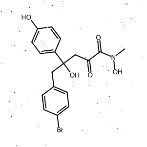 CN(O)C(=O)C(=O)CC(O)(Cc1ccc(Br)cc1)c1ccc(O)cc1